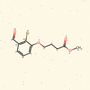 COC(=O)CCCOc1cccc(C=O)c1Br